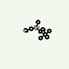 c1ccc(-c2nc(-c3ccc(-c4ccncc4)cc3)nc(-c3ccc4c5c(cccc35)-c3c-4c(-c4ccccc4)c4ccccc4c3-c3ccccc3)n2)cc1